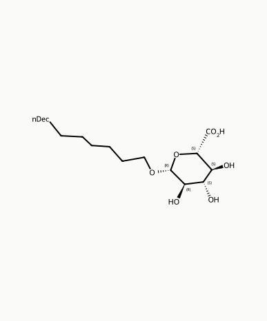 CCCCCCCCCCCCCCCCO[C@@H]1O[C@H](C(=O)O)[C@@H](O)[C@H](O)[C@H]1O